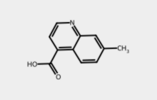 Cc1ccc2c(C(=O)O)ccnc2c1